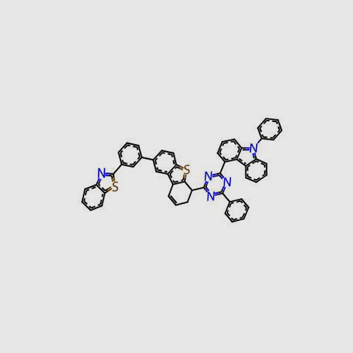 C1=Cc2c(sc3ccc(-c4cccc(-c5nc6ccccc6s5)c4)cc23)C(c2nc(-c3ccccc3)nc(-c3cccc4c3c3ccccc3n4-c3ccccc3)n2)C1